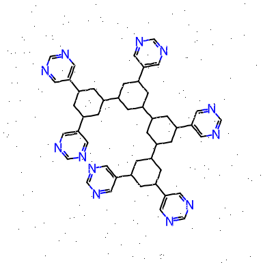 c1ncc(C2CC(c3cncnc3)CC(C3CC(c4cncnc4)CC(C4CC(c5cncnc5)CC(C5CC(c6cncnc6)CC(c6cncnc6)C5)C4)C3)C2)cn1